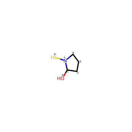 OC1CCCN1S